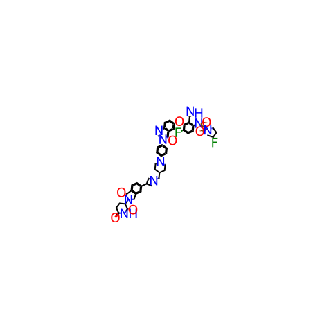 N#Cc1c(NS(=O)(=O)N2CC[C@@H](F)C2)ccc(F)c1Oc1ccc2ncn(-c3ccc(N4CCC(CN5CC(c6ccc7c(c6)CN(C6CCC(=O)NC6=O)C7=O)C5)CC4)cc3)c(=O)c2c1